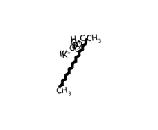 CCCCCCCCCCCCCCCC(CC(C)C)OP(=O)([O-])[O-].[K+].[K+]